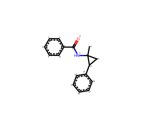 CC1(NC(=O)c2ccccc2)CC1c1ccccc1